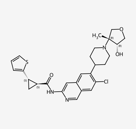 C[C@@]1(N2CCC(c3cc4cc(NC(=O)[C@H]5C[C@@H]5c5cccs5)ncc4cc3Cl)CC2)COC[C@@H]1O